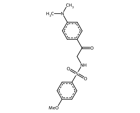 COc1ccc(S(=O)(=O)NCC(=O)c2ccc(N(C)C)cc2)cc1